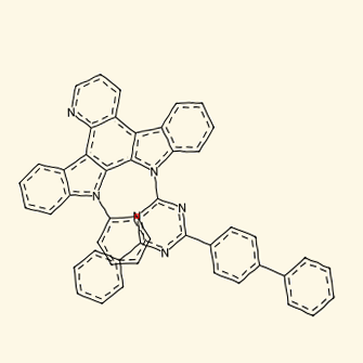 c1ccc(-c2ccc(-c3nc(-c4ccccc4)nc(-n4c5ccccc5c5c6cccnc6c6c7ccccc7n(-c7ccccc7)c6c54)n3)cc2)cc1